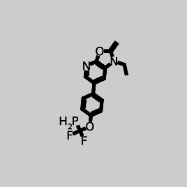 C=C1Oc2ncc(-c3ccc(OC(F)(F)P)cc3)cc2N1CC